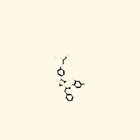 C[C@@H](c1ccccc1)C(C(=O)Nc1ccc(I)cc1F)N1C(=O)N[C@@H](c2ccc(OC[C@H](O)CO)cc2)C1=O